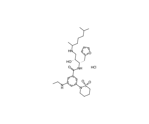 CCNc1cc(C(=O)N[C@@H](Cc2ccco2)[C@H](O)CNC(C)CCCC(C)C)cc(N2CCCCS2(=O)=O)c1.Cl